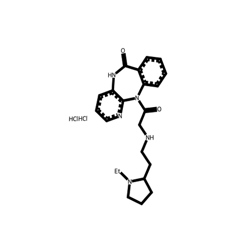 CCN1CCCC1CCNCC(=O)N1c2ccccc2C(=O)Nc2cccnc21.Cl.Cl